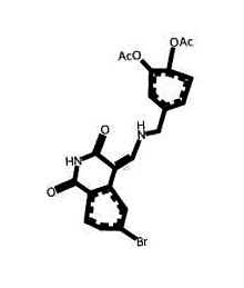 CC(=O)Oc1ccc(CN/C=C2\C(=O)NC(=O)c3ccc(Br)cc32)cc1OC(C)=O